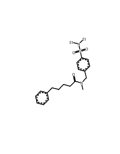 CCN(CC)S(=O)(=O)c1ccc(CN(C)C(=O)CCCCc2ccccc2)cc1